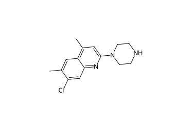 Cc1cc2c(C)cc(N3CCNCC3)nc2cc1Cl